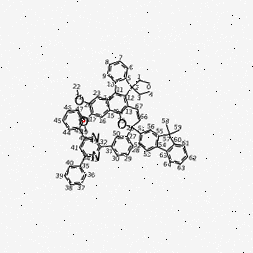 CCC1(CC)c2ccccc2-c2c1c1c(c3cc(OC)c(OC)cc23)OC(c2cccc(-c3nc(-c4ccccc4)cc(-c4ccccc4)n3)c2)(c2ccc3c(c2)C(C)(C)c2ccccc2-3)C=C1